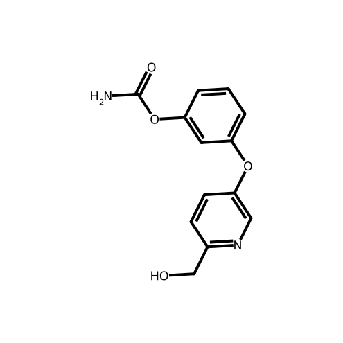 NC(=O)Oc1cccc(Oc2ccc(CO)nc2)c1